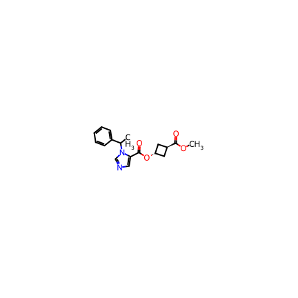 COC(=O)[C@H]1C[C@H](OC(=O)c2cncn2C(C)c2ccccc2)C1